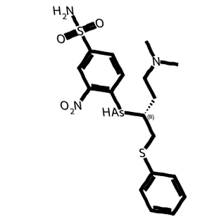 CN(C)CC[C@H](CSc1ccccc1)[AsH]c1ccc(S(N)(=O)=O)cc1[N+](=O)[O-]